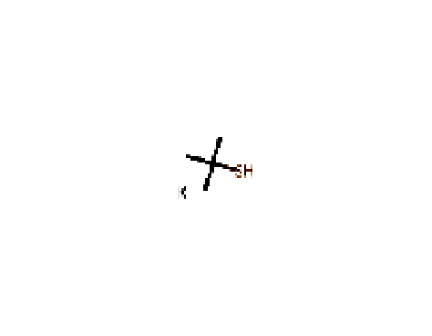 CC(C)(C)S.[K]